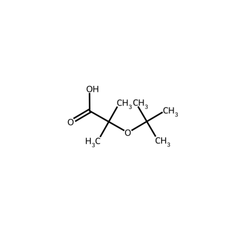 CC(C)(C)OC(C)(C)C(=O)O